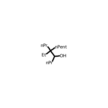 CCCCCC(CC)(CCC)C(O)CCC